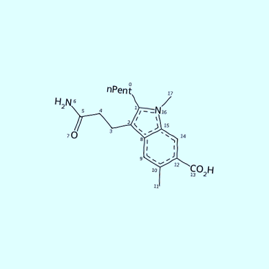 CCCCCc1c(CCC(N)=O)c2cc(C)c(C(=O)O)cc2n1C